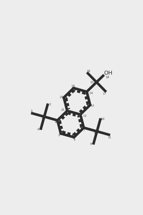 CC(C)(C)c1ccc(C(C)(C)C)c2cc(C(C)(C)O)ccc12